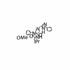 COc1cccc(CN2C(=O)C(CC(C)C)NC(=O)C23CCN(Cc2cnc(-c4ccccc4)[nH]2)CC3)c1